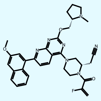 C=C(F)C(=O)N1CCN(c2nc(OC[C@@H]3CCCN3C)nc3nc(-c4cc(OC)cc5ccccc45)ccc23)C[C@@H]1CC#N